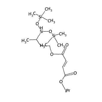 CC(C)OC(=O)C=CC(=O)OCCC(C)[SiH](O[Si](C)(C)C)O[Si](C)(C)C